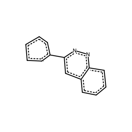 [c]1ccccc1-c1cc2ccccc2nn1